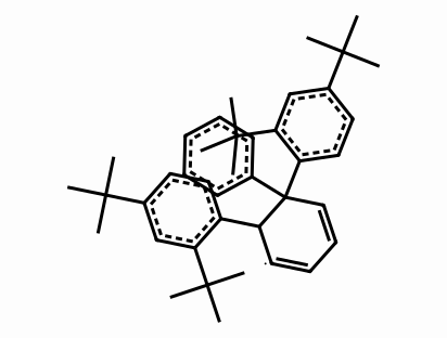 CC(C)(C)c1ccc(C2[C]=CC=CC2(c2ccccc2)c2ccc(C(C)(C)C)cc2C(C)(C)C)c(C(C)(C)C)c1